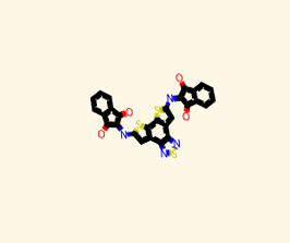 O=c1c(=Nc2cc3c4nsnc4c4cc(N=c5c(=O)c6ccccc6c5=O)sc4c3s2)c(=O)c2ccccc12